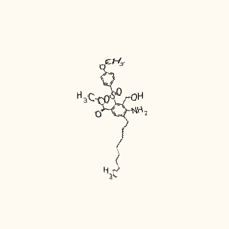 CCCCCCCCc1cc(C(=O)OC)c(S(=O)(=O)c2ccc(OC)cc2)c(CO)c1N